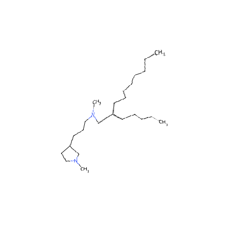 CCCCCCCCC(CCCCC)CN(C)CCCC1CCN(C)C1